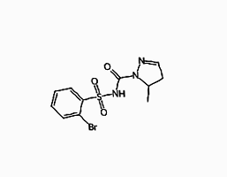 CC1CC=NN1C(=O)NS(=O)(=O)c1ccccc1Br